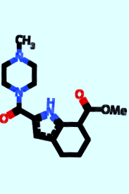 COC(=O)C1CCCc2cc(C(=O)N3CCN(C)CC3)[nH]c21